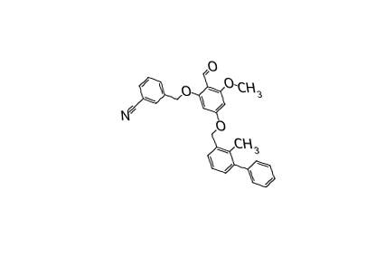 COc1cc(OCc2cccc(-c3ccccc3)c2C)cc(OCc2cccc(C#N)c2)c1C=O